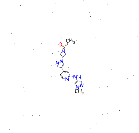 CC[S+]([O-])N1CC(n2cc(-c3ccnc(Nc4cnn(C)c4)c3)cn2)C1